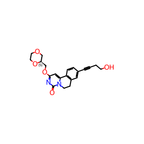 O=c1nc(OC[C@@H]2COCCO2)cc2n1CCc1cc(C#CCCO)ccc1-2